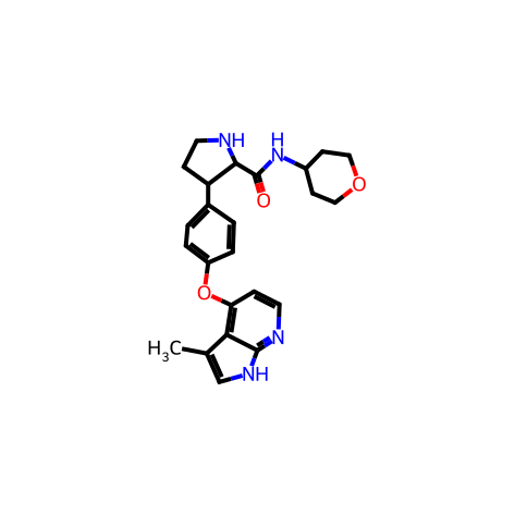 Cc1c[nH]c2nccc(Oc3ccc(C4CCNC4C(=O)NC4CCOCC4)cc3)c12